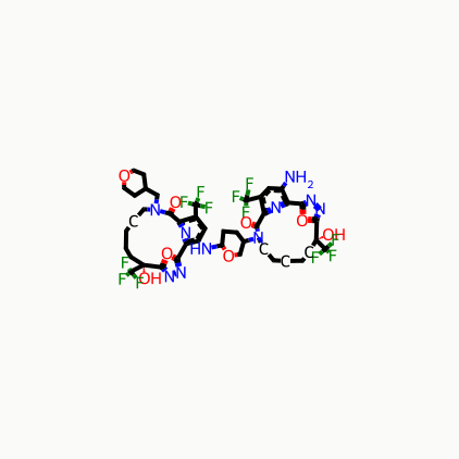 Nc1cc(C(F)(F)F)c2nc1-c1nnc(o1)[C@@](O)(C(F)(F)F)CCCCCN(C1CCC(Nc3cc(C(F)(F)F)c4nc3-c3nnc(o3)[C@@](O)(C(F)(F)F)CCCCCN(CC3CCOCC3)C4=O)OC1)C2=O